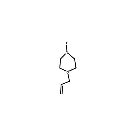 C=CCN1CCN(I)CC1